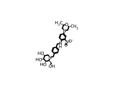 C[C@@H]1CN(c2ccc(NCc3ccc(CN4C[C@@H](O)[C@H](O)[C@@H](O)[C@@H]4CO)cc3)c([N+](=O)[O-])c2)C[C@H](C)O1